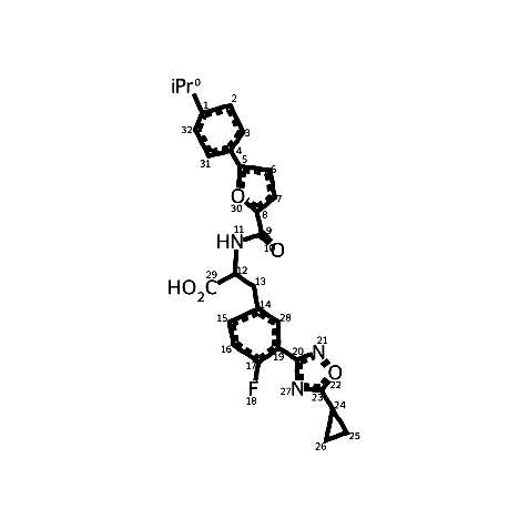 CC(C)c1ccc(-c2ccc(C(=O)NC(Cc3ccc(F)c(-c4noc(C5CC5)n4)c3)C(=O)O)o2)cc1